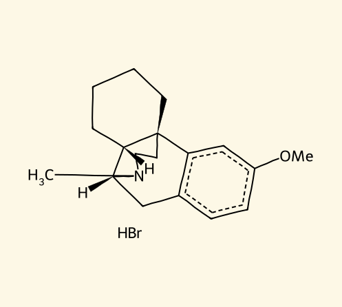 Br.COc1ccc2c(c1)[C@@]13CCCC[C@H]1[C@@H](C2)N(C)CC3